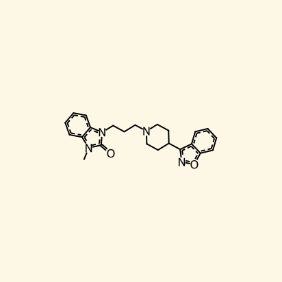 Cn1c(=O)n(CCCN2CCC(c3noc4ccccc34)CC2)c2ccccc21